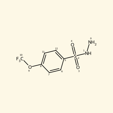 NNS(=O)(=O)c1ccc(OC(F)(F)F)cc1